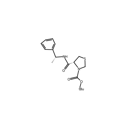 C[C@@H](NC(=O)[C@@H]1CSCN1C(=O)OC(C)(C)C)c1ccccc1